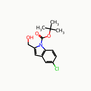 CC(C)(C)OC(=O)n1c(CO)cc2cc(Cl)ccc21